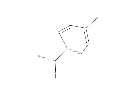 CC1=CC[C@H]([C@@H](C)I)C=C1